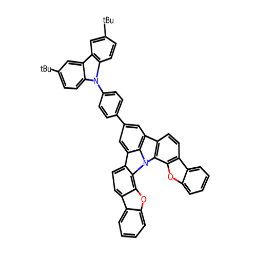 CC(C)(C)c1ccc2c(c1)c1cc(C(C)(C)C)ccc1n2-c1ccc(-c2cc3c4ccc5c6ccccc6oc5c4n4c3c(c2)c2ccc3c5ccccc5oc3c24)cc1